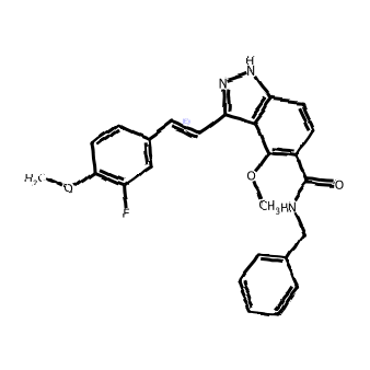 COc1ccc(/C=C/c2n[nH]c3ccc(C(=O)NCc4ccccc4)c(OC)c23)cc1F